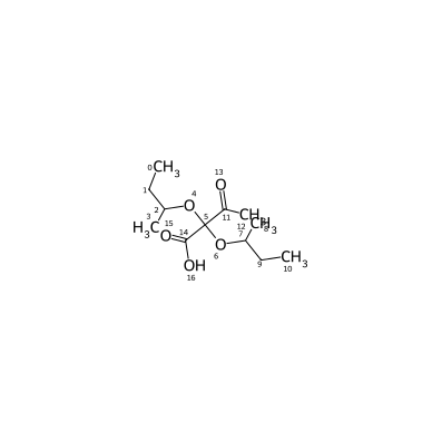 CCC(C)OC(OC(C)CC)(C(C)=O)C(=O)O